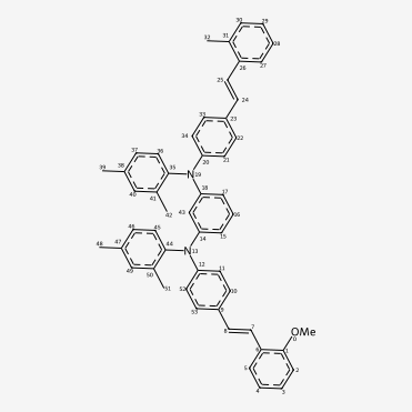 COc1ccccc1/C=C/c1ccc(N(c2cccc(N(c3ccc(/C=C/c4ccccc4C)cc3)c3ccc(C)cc3C)c2)c2ccc(C)cc2C)cc1